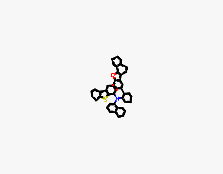 c1ccc(N(c2cccc3ccccc23)c2cccc3c2sc2ccccc23)c(-c2ccc3oc4c5ccccc5ccc4c3c2)c1